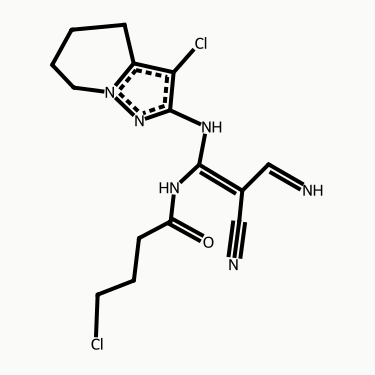 N#C/C(C=N)=C(\NC(=O)CCCCl)Nc1nn2c(c1Cl)CCCC2